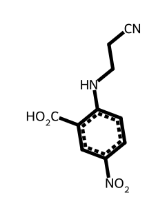 N#CCCNc1ccc([N+](=O)[O-])cc1C(=O)O